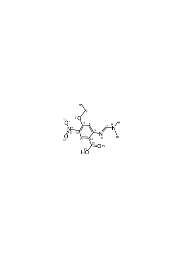 CCOc1cc(N=CN(C)C)c(C(=O)O)cc1[N+](=O)[O-]